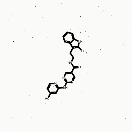 CC(=O)c1ccnc(Nc2ncc(C(=O)NCCc3c(C)[nH]c4ccccc34)cn2)c1